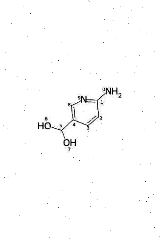 Nc1ccc(C(O)O)cn1